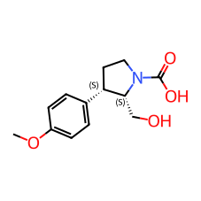 COc1ccc([C@@H]2CCN(C(=O)O)[C@@H]2CO)cc1